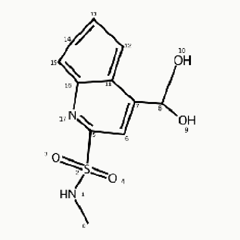 CNS(=O)(=O)c1cc(C(O)O)c2ccccc2n1